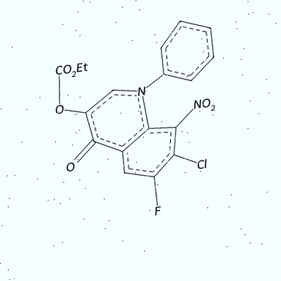 CCOC(=O)Oc1cn(-c2ccccc2)c2c([N+](=O)[O-])c(Cl)c(F)cc2c1=O